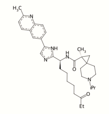 CCC(=O)CCCCC[C@H](NC(=O)[C@@]1(C)CC12CCN(C(C)C)CC2)c1ncc(-c2ccc3nc(C)ccc3c2)[nH]1